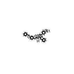 CCOc1ccc(-c2cnc(NC(=O)Cc3ccc(OCc4ccccc4)cc3)c(Cc3ccccc3)n2)cc1